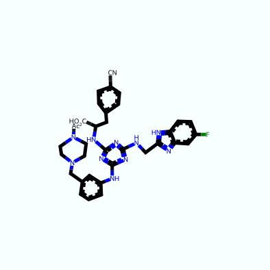 CC(=O)N1CCN(Cc2cccc(Nc3nc(NCc4nc5cc(F)ccc5[nH]4)nc(NC(Cc4ccc(C#N)cc4)C(=O)O)n3)c2)CC1